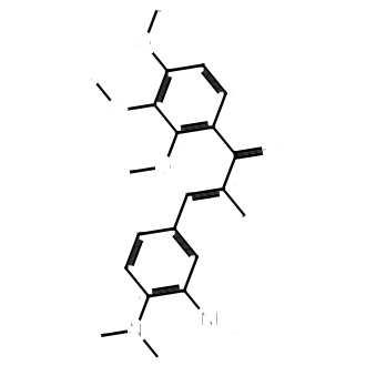 COc1ccc(C(=O)C(C)=Cc2ccc(N(C)C)c(N)c2)c(OC)c1OC